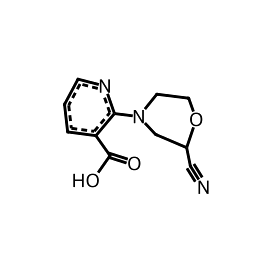 N#CC1CN(c2ncccc2C(=O)O)CCO1